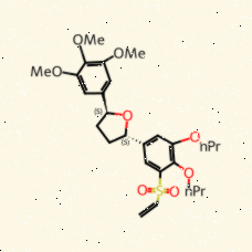 C=CS(=O)(=O)c1cc([C@@H]2CC[C@@H](c3cc(OC)c(OC)c(OC)c3)O2)cc(OCCC)c1OCCC